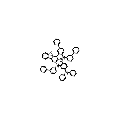 c1ccc(-c2cccc(N3B4c5ccc(N(c6ccccc6)c6ccccc6)cc5N(c5cccc(-c6ccccc6)c5)c5cc6c(sc7ccccc76)c(c54)-c4cc(-c5ccccc5)ccc43)c2)cc1